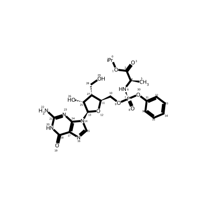 CC(C)OC(=O)[C@@H](C)N[P@](=O)(OC[C@H]1O[C@@H](n2cnc3c(=O)[nH]c(N)nc32)[C@H](O)[C@@H]1CO)Oc1ccccc1